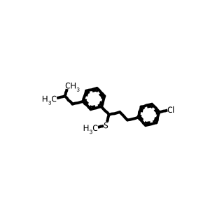 CSC(CCc1ccc(Cl)cc1)c1cccc(CC(C)C)c1